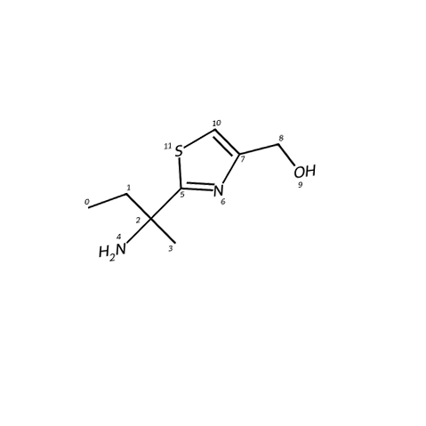 CCC(C)(N)c1nc(CO)cs1